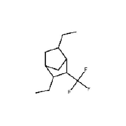 CCC1CC2CC1C(C(F)(F)F)C2CC